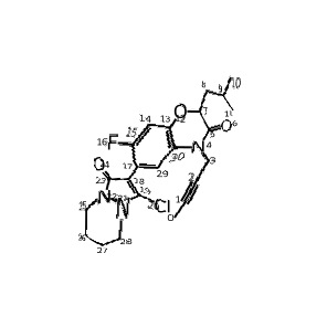 CC#CCN1C(=O)C(CC(C)C)Oc2cc(F)c(-c3c(Cl)n4n(c3=O)CCCC4)cc21